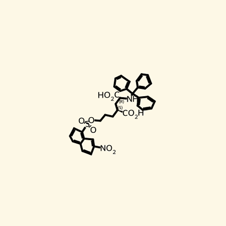 O=C(O)[C@@H](CCCOS(=O)(=O)c1cccc2ccc([N+](=O)[O-])cc12)C[C@@H](NC(c1ccccc1)(c1ccccc1)c1ccccc1)C(=O)O